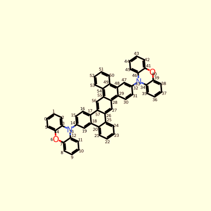 c1ccc2c(c1)Oc1ccccc1N2c1ccc2c(c1)c1ccccc1c1cc3c4ccc(N5c6ccccc6Oc6ccccc65)cc4c4ccccc4c3cc21